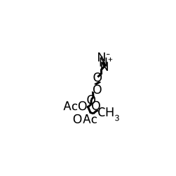 CC(=O)OC1CC(OC(C)=O)C(OCCOCCOCCN=[N+]=[N-])OC1C